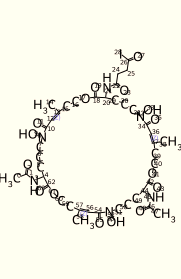 CC(=O)NC1CCCN(O)C(=O)/C=C(/C)CCOC(=O)C(NC(=O)CCC(=O)I)CCCN(O)C(=O)/C=C(/C)CCOC(=O)C(NC(C)=O)CCCN(O)C(=O)/C=C(/C)CCOC1=O